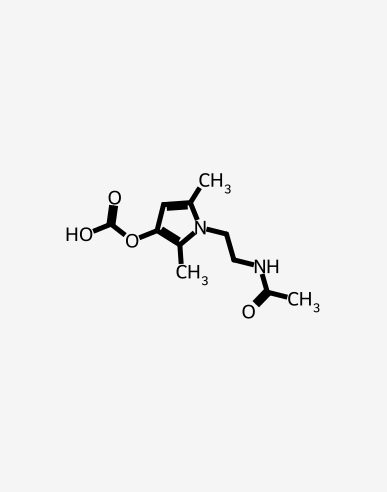 CC(=O)NCCn1c(C)cc(OC(=O)O)c1C